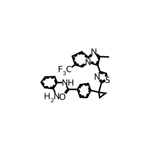 Cc1nc2ccc(C(F)(F)F)cn2c1-c1csc(C2(c3ccc(C(=O)Nc4ccccc4N)cc3)CC2)n1